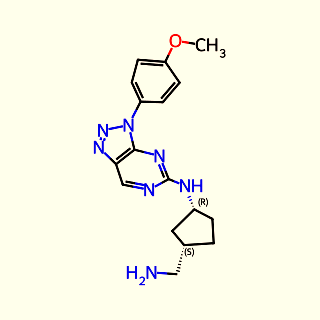 COc1ccc(-n2nnc3cnc(N[C@@H]4CC[C@H](CN)C4)nc32)cc1